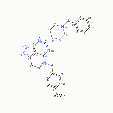 COc1ccc(CN2CCc3n[nH]c4nc(N5CCN(Cc6ccccc6)CC5)nc2c34)cc1